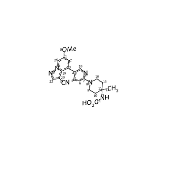 COc1cc(-c2ccc(N3CCC(C)(NC(=O)O)CC3)nc2)c2c(C#N)cnn2c1